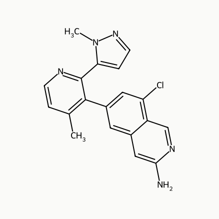 Cc1ccnc(-c2ccnn2C)c1-c1cc(Cl)c2cnc(N)cc2c1